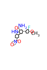 COc1ccc(-c2cc(C(N)=O)c3[nH]c4ccc(C(=O)N5CCOCC5)cc4c3c2)cc1F